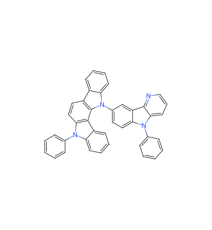 c1ccc(-n2c3ccc(-n4c5ccccc5c5ccc6c(c7ccccc7n6-c6ccccc6)c54)cc3c3ncccc32)cc1